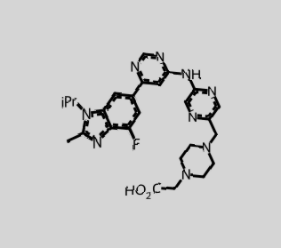 Cc1nc2c(F)cc(-c3cc(Nc4cnc(CN5CCN(CC(=O)O)CC5)cn4)ncn3)cc2n1C(C)C